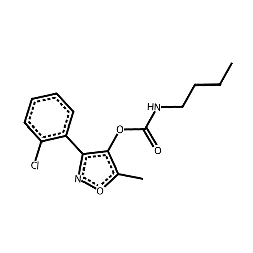 CCCCNC(=O)Oc1c(-c2ccccc2Cl)noc1C